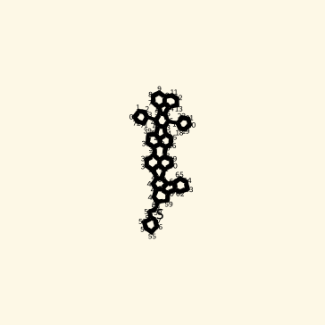 c1ccc(-c2c3c4cccc5cccc(c3c(-c3ccccc3)c3c6ccc7c8ccc9c%10c(ccc(c%11ccc(c23)c6c%117)c8%10)c2cc3cc(-c6cc7ccccc7s6)cc6c7ccccc7c(c36)c29)c54)cc1